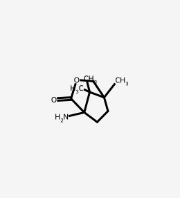 CC12CCC(N)(C(=O)OC1)C2(C)C